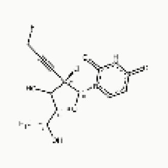 C[C@@H](O)[C@H]1O[C@@H](n2ccc(=O)[nH]c2=O)[C@@](Cl)(C#CCF)C1O